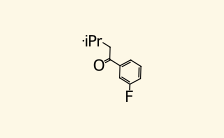 C[C](C)CC(=O)c1cccc(F)c1